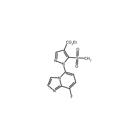 CCOC(=O)c1cnn(-c2ccc(F)c3nccn23)c1S(C)(=O)=O